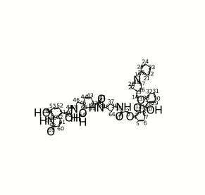 O=C(COc1cccc(C(O)(C(=O)OCC2CCN(Cc3ccccc3)CC2)c2ccccc2)c1)N[C@H]1C[C@H](NC(=O)c2ccc(CNC[C@H](O)c3ccc(O)c4[nH]c(=O)ccc34)c(O)c2)C1